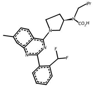 Cc1ccc2c(N3CC[C@@H](N(CC(C)C)C(=O)O)C3)nc(-c3ccccc3C(F)F)nc2c1